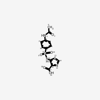 CC(=O)Nc1ccc(S(=O)(=O)Nc2scnc2C(=O)O)cc1